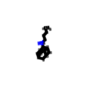 CCCCNC1C2CC3CC(C2)CC1C3